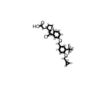 O=C(O)C[C@H]1CCn2c1c(Cl)c1cc(OCc3ccc(OCC4CC4)c(C(F)(F)F)c3)ccc12